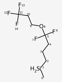 C[SiH2]CCCC(F)(F)OCCC(F)(F)F